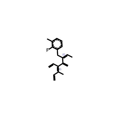 C=C/C(C)=C(\C=C)C(=C)/C(=C\C)Cc1cccc(C)c1F